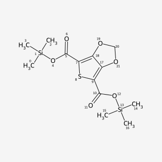 C[Si](C)(C)OC(=O)c1sc(C(=O)O[Si](C)(C)C)c2c1OCO2